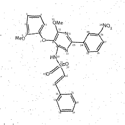 COc1ccccc1Oc1c(NS(=O)(=O)/C=C/c2ccccc2)nc(-c2cccc([N+](=O)[O-])c2)nc1OC